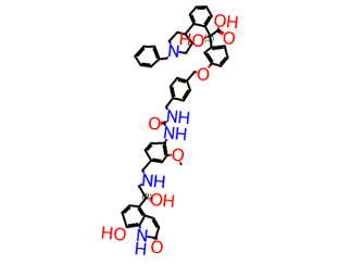 COc1cc(CNC[C@H](O)c2ccc(O)c3[nH]c(=O)ccc23)ccc1NC(=O)NCc1ccc(COc2cccc([C@@](O)(C(=O)O)c3ccccc3C3CCN(Cc4ccccc4)CC3)c2)cc1